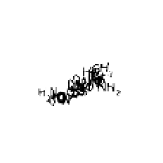 CON=C(C(=O)NC1C(=O)N2C(C(=O)[O-])=C(C=CC[n+]3ccc(C(N)=O)cc3)CS[C@@H]12)c1nsc(N)n1